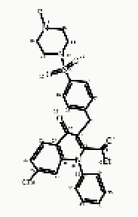 CCC(=O)c1c(Cc2ccc(S(=O)(=O)N3CCN(C)CC3)cc2)c(=O)c2ccc(Cl)cc2n1-c1ccccc1